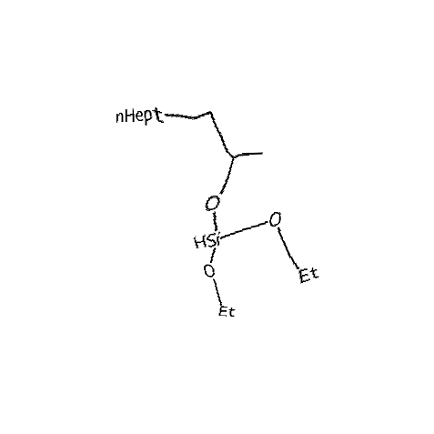 CCCCCCCCC(C)O[SiH](OCC)OCC